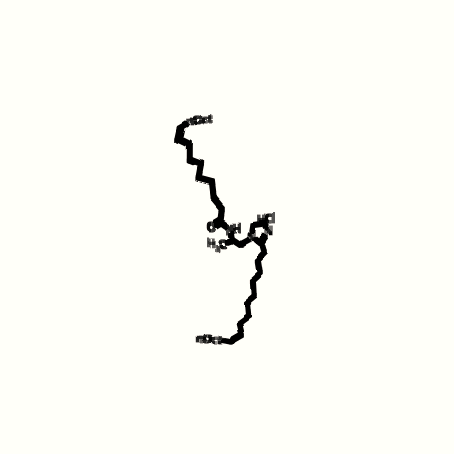 CCCCCCCC/C=C\CCCCCCCCC1=NCCN1CC(C)NC(=O)CCCCCCC/C=C\CCCCCCCC.Cl